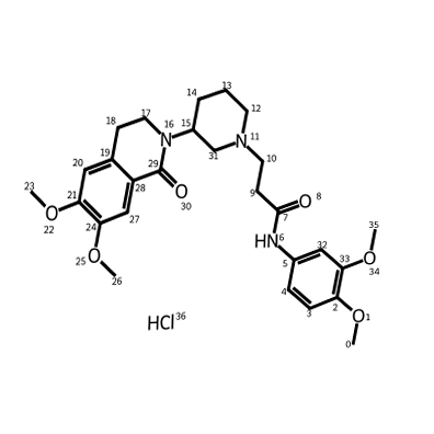 COc1ccc(NC(=O)CCN2CCCC(N3CCc4cc(OC)c(OC)cc4C3=O)C2)cc1OC.Cl